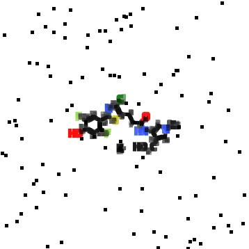 CCn1cc(NC(=O)CCc2sc(-c3cc(F)c(O)cc3F)nc2Cl)c(C(=O)O)c1.[K]